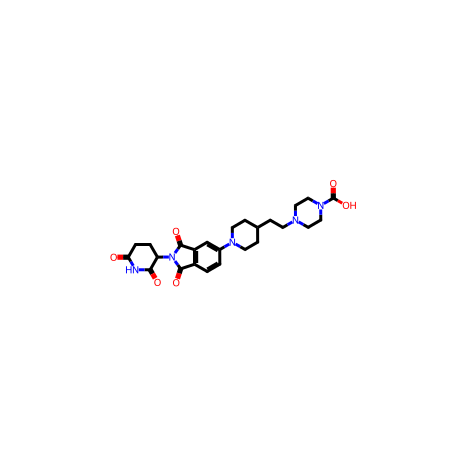 O=C1CCC(N2C(=O)c3ccc(N4CCC(CCN5CCN(C(=O)O)CC5)CC4)cc3C2=O)C(=O)N1